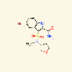 CN(C1CCOC1)S(=O)(=O)c1c(C(N)=O)[nH]c2ccc(Br)cc12